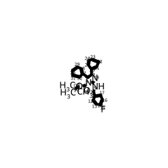 CC(C)(C)OC(=O)N1C(NCc2ccc(F)cc2)=NC(c2ccccc2)C1c1ccccc1